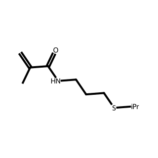 C=C(C)C(=O)NCCCSC(C)C